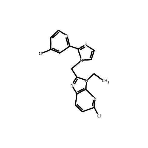 CCn1c(Cn2ccnc2-c2cc(Cl)ccn2)nc2ccc(Cl)nc21